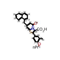 CCCOc1ccc(-c2sc3cc(Cc4cccc5ccccc45)cc(=O)n3c2C(=O)O)cc1C